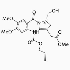 C=CCOC(=O)Nc1cc(OC)c(OC)cc1C(=O)N1C=C(CC(=O)OC)C[C@H]1CO